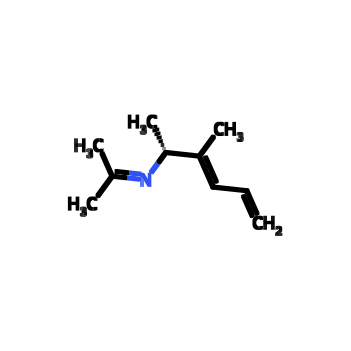 C=C/C=C(\C)[C@@H](C)N=C(C)C